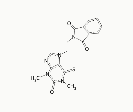 Cn1c(=S)c2c(ncn2CCN2C(=O)c3ccccc3C2=O)n(C)c1=O